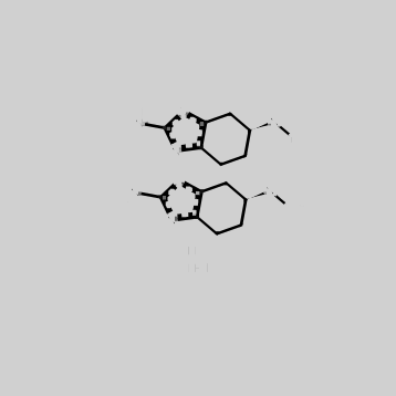 CCCN[C@H]1CCc2nc(N)sc2C1.CCCN[C@H]1CCc2nc(N)sc2C1.Cl.Cl.Cl.Cl.O